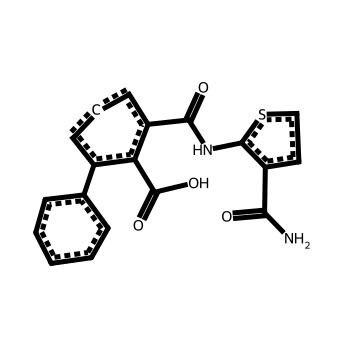 NC(=O)c1ccsc1NC(=O)c1cccc(-c2ccccc2)c1C(=O)O